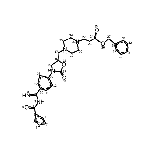 N=C(NC(=O)c1ccsc1)c1ccc(N2CC(CN3CCN(CCC(=O)OCc4ccccc4)CC3)OC2=O)cc1